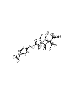 CO[C@@]1(NC(=O)OCc2ccc([N+](=O)[O-])cc2)C(=O)N(C(C(=O)O)=C(C)C)C1SC